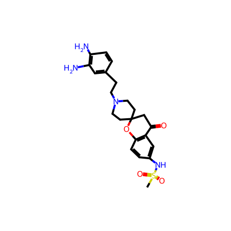 CS(=O)(=O)Nc1ccc2c(c1)C(=O)CC1(CCN(CCc3ccc(N)c(N)c3)CC1)O2